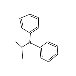 CC(C)N(c1ccccc1)c1ccccc1